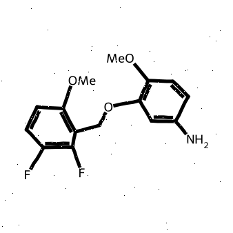 COc1ccc(N)cc1OCc1c(OC)ccc(F)c1F